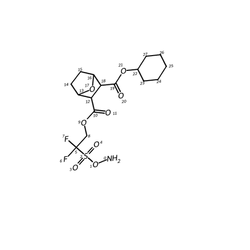 NOS(=O)(=O)C(F)(F)COC(=O)C1C2CCC(O2)C1C(=O)OC1CCCCC1